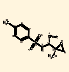 CCCCC[C@@H](NS(=O)(=O)c1ccc(C)cc1)[C@]1(C)CO1